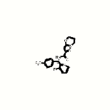 O=C(N[C@@H](c1ccc(C(F)(F)F)cc1)c1ncccc1F)c1cc2n(n1)CCCO2